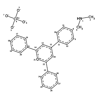 CNC.[O-][Cl+3]([O-])([O-])[O-].c1ccc(-c2cc(-c3ccccc3)[o+]c(-c3ccccc3)c2)cc1